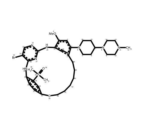 COc1cc(N2CCC(N3CCN(C)CC3)CC2)c2cc1Nc1ncc(Br)c(n1)Nc1ccc(cc1P(C)(C)=O)OCCCCCC2